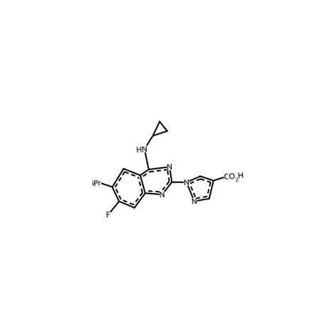 CC(C)c1cc2c(NC3CC3)nc(-n3cc(C(=O)O)cn3)nc2cc1F